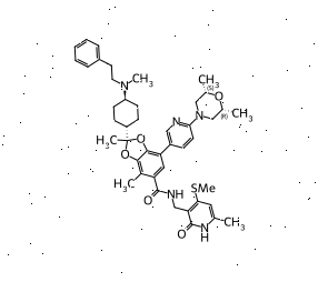 CSc1cc(C)[nH]c(=O)c1CNC(=O)c1cc(-c2ccc(N3C[C@@H](C)O[C@@H](C)C3)nc2)c2c(c1C)OC(C)([C@H]1CC[C@H](N(C)CCc3ccccc3)CC1)O2